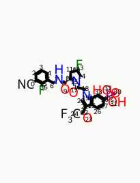 N#Cc1cccc(CNC(=O)[C@@H]2C[C@@H](F)CN2C(=O)Cn2cc(C(=O)C(F)(F)F)c3ccc(P(=O)(O)O)cc32)c1F